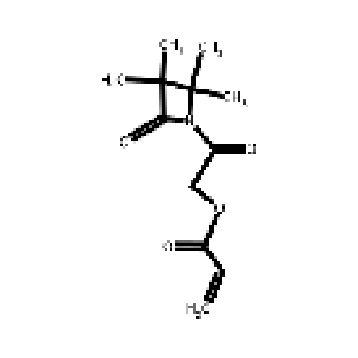 C=CC(=O)OCC(=O)N1C(=O)C(C)(C)C1(C)C